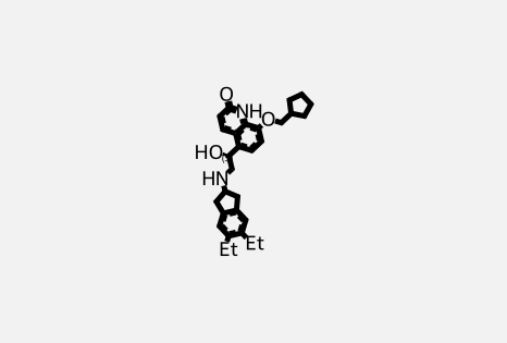 CCc1cc2c(cc1CC)CC(NC[C@@H](O)c1ccc(OCC3CCCC3)c3[nH]c(=O)ccc13)C2